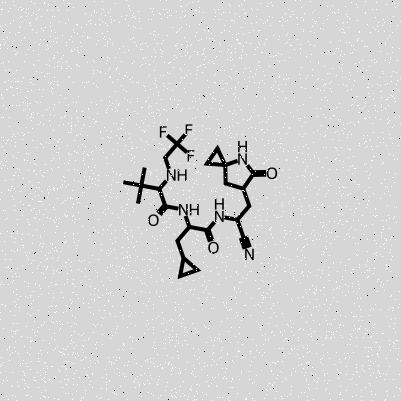 CC(C)(C)C(NCC(F)(F)F)C(=O)NC(CC1CC1)C(=O)NC(C#N)CC1CC2(CC2)NC1=O